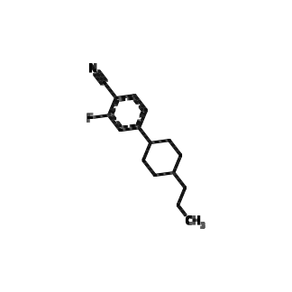 CCCC1CCC(c2ccc(C#N)c(F)c2)CC1